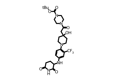 CC(C)(C)OC(=O)N1CCN(C(=O)CC2(O)CCN(c3ccc(NC4CCC(=O)NC4=O)cc3C(F)(F)F)CC2)CC1